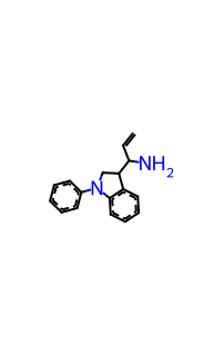 C=CC(N)C1CN(c2ccccc2)c2ccccc21